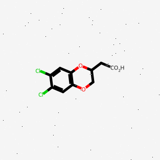 O=C(O)CC1COc2cc(Cl)c(Cl)cc2O1